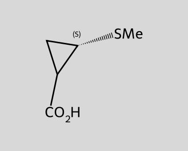 CS[C@H]1CC1C(=O)O